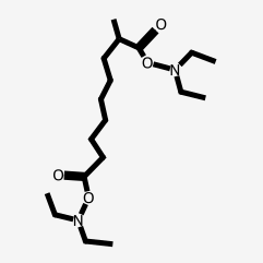 CCN(CC)OC(=O)CCCCCCC(C)C(=O)ON(CC)CC